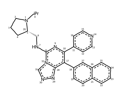 CC(C)N1CCC[C@H]1CNc1nc(-c2ccncc2)c(-c2ccc3ccccc3c2)c2nncn12